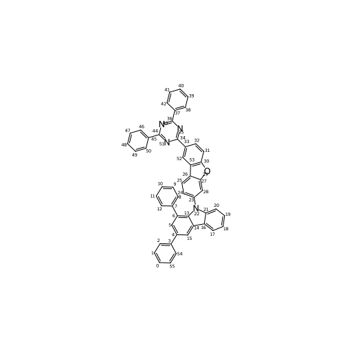 c1ccc(-c2cc(-c3ccccc3)c3c(c2)c2ccccc2n3-c2ccc3c(c2)oc2ccc(-c4nc(-c5ccccc5)nc(-c5ccccc5)n4)cc23)cc1